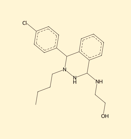 CCCCN1NC(NCCO)c2ccccc2C1c1ccc(Cl)cc1